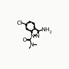 CN(C)C(=O)n1nc(N)c2ccc(Cl)cc21